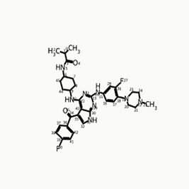 CC(C)C(=O)NC1CCC(Nc2nc(Nc3ccc(N4CCN(C)CC4)c(F)c3)nc3[nH]cc(C(=O)c4ccc(F)cc4)c23)CC1